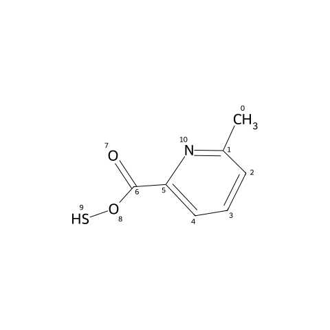 Cc1cccc(C(=O)OS)n1